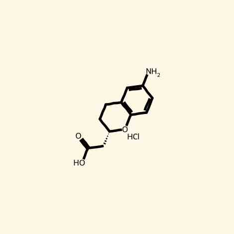 Cl.Nc1ccc2c(c1)CC[C@@H](CC(=O)O)O2